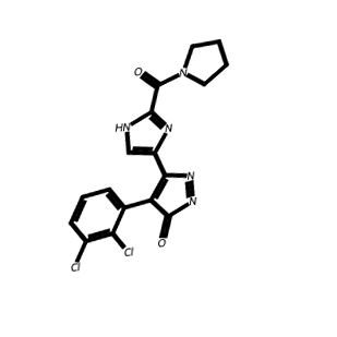 O=C1N=NC(c2c[nH]c(C(=O)N3CCCC3)n2)=C1c1cccc(Cl)c1Cl